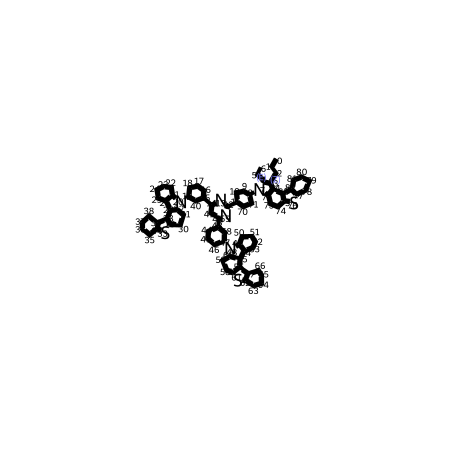 C=C/C=c1\c(=C/C)n(-c2ccc(-c3nc(-c4cccc(-n5c6ccccc6c6c7c(ccc65)sc5ccccc57)c4)cc(-c4cccc(-n5c6ccccc6c6c7c(ccc65)sc5ccccc57)c4)n3)cc2)c2ccc3sc4ccccc4c3c12